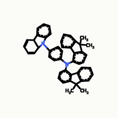 CC1(C)c2ccccc2-c2c(N(c3ccc(N4c5ccccc5C5C=CC=CC54)cc3)c3cccc4c3-c3ccccc3C4(C)C)cccc21